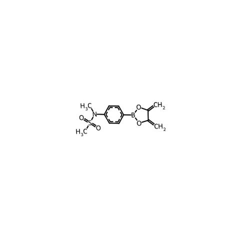 C=C1OB(c2ccc(N(C)S(C)(=O)=O)cc2)OC1=C